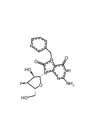 Nc1nc2c(c(=O)[nH]1)n(Cc1cccnc1)c(=O)n2[C@@H]1O[C@H](CO)[C@@H](F)[C@H]1O